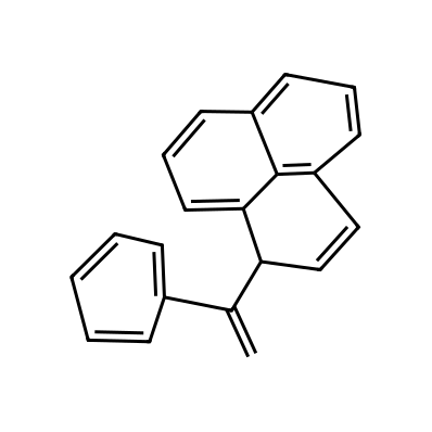 C=C(c1ccccc1)C1C=Cc2cccc3cccc1c23